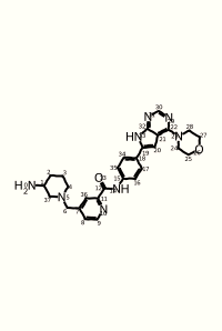 NC1CCCN(Cc2ccnc(C(=O)Nc3ccc(-c4cc5c(N6CCOCC6)ncnc5[nH]4)cc3)c2)C1